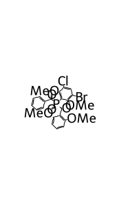 COc1cccc(OC)c1C(=O)P(=O)(C(=O)c1ccccc1)c1c(OC)c(Cl)cc(Br)c1OC